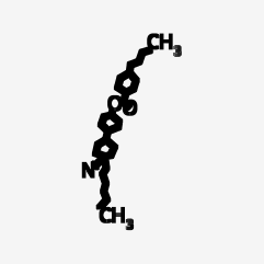 CCCCCCCC1(C#N)CCC(C2CCC(OC(=O)C3CCC(CCCCC)CC3)CC2)CC1